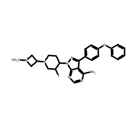 Nc1ncnc2c1c(-c1ccc(Oc3ccccc3)cc1)nn2C1CCN(C2CN(C(=O)O)C2)CC1F